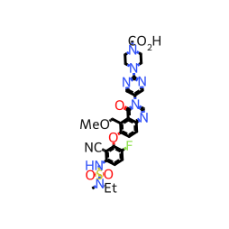 CCN(C)S(=O)(=O)Nc1ccc(F)c(Oc2ccc3ncn(-c4cnc(N5CCN(C(=O)O)CC5)nc4)c(=O)c3c2COC)c1C#N